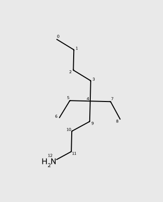 CCCCC(CC)(CC)CCCN